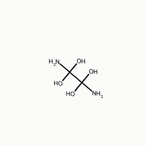 NC(O)(O)C(N)(O)O